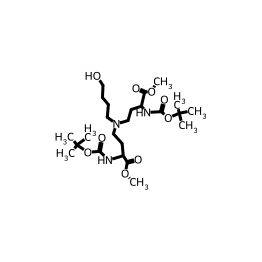 COC(=O)C(CCN(CCCCO)CCC(NC(=O)OC(C)(C)C)C(=O)OC)NC(=O)OC(C)(C)C